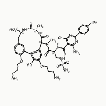 C[C@@H]1NC(=O)[C@@H](N(C)C(=O)[C@H](CNS(N)(=O)=O)NC(=O)c2c(N)nc(-c3ccc(C(C)(C)C)cc3)nc2Cl)c2cc(OCCCN)c(O)c(c2)-c2cc(ccc2OCCCN)C[C@@H](C(=O)O)NC1=O